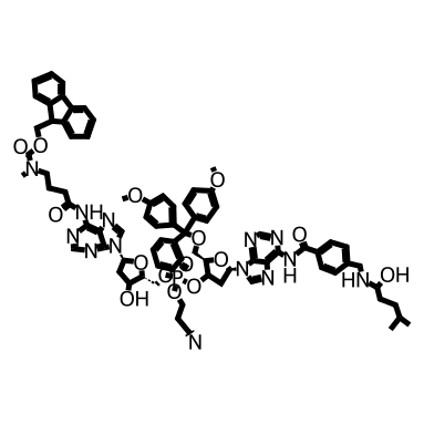 COc1ccc(C(OC[C@H]2O[C@@H](n3cnc4c(NC(=O)c5ccc(CNC(O)CCC(C)C)cc5)ncnc43)CC2OP(=O)(OCCC#N)OC[C@H]2O[C@@H](n3cnc4c(NC(=O)CCCN(C)C(=O)OCC5c6ccccc6-c6ccccc65)ncnc43)CC2O)(c2ccccc2)c2ccc(OC)cc2)cc1